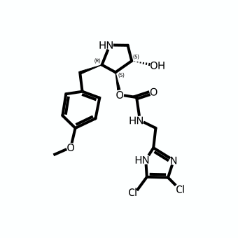 COc1ccc(C[C@H]2NC[C@H](O)[C@H]2OC(=O)NCc2nc(Cl)c(Cl)[nH]2)cc1